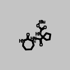 CC(C)(C)OC(=O)NC1(C(=O)N[C@H]2CCCCNC2=O)CCCC1